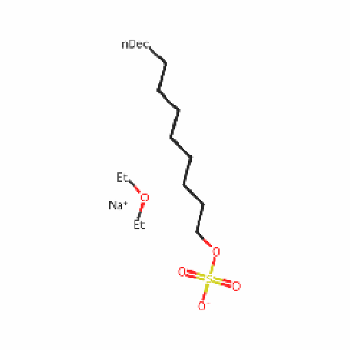 CCCCCCCCCCCCCCCCCCOS(=O)(=O)[O-].CCOCC.[Na+]